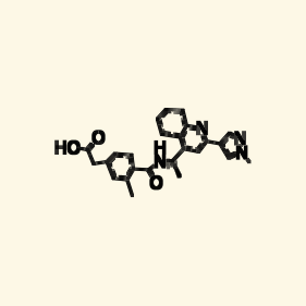 Cc1cc(CC(=O)O)ccc1C(=O)N[C@H](C)c1cc(-c2cnn(C)c2)nc2ccccc12